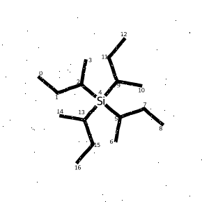 CCC(C)[Si](C(C)CC)(C(C)CC)C(C)CC